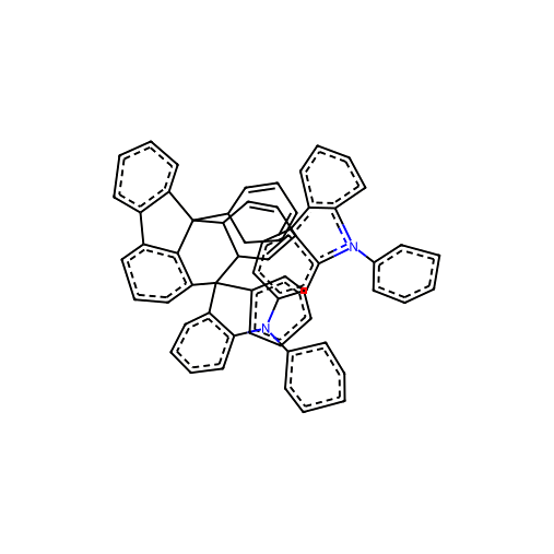 C1=CCC(C23c4ccccc4-c4cccc(c42)C(c2ccccc2)(c2ccccc2N(c2ccccc2)c2ccc4c5ccccc5n(-c5ccccc5)c4c2)C2C=CC=CC23)C=C1